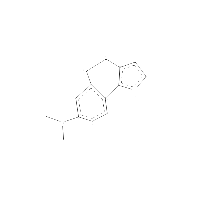 CN(C)c1ccc2c(c1)CCc1ccsc1-2